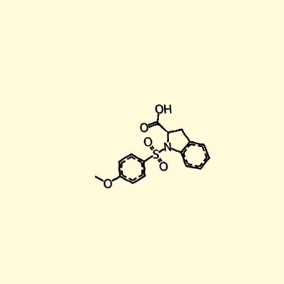 COc1ccc(S(=O)(=O)N2c3ccccc3C[C@@H]2C(=O)O)cc1